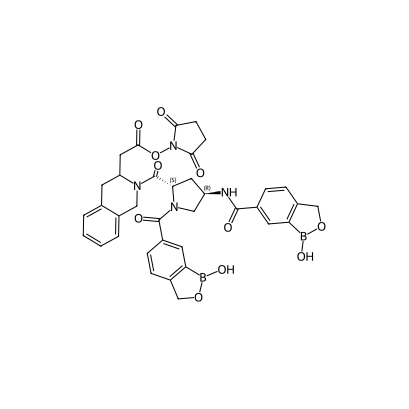 O=C(CC1Cc2ccccc2CN1C(=O)[C@@H]1C[C@@H](NC(=O)c2ccc3c(c2)B(O)OC3)CN1C(=O)c1ccc2c(c1)B(O)OC2)ON1C(=O)CCC1=O